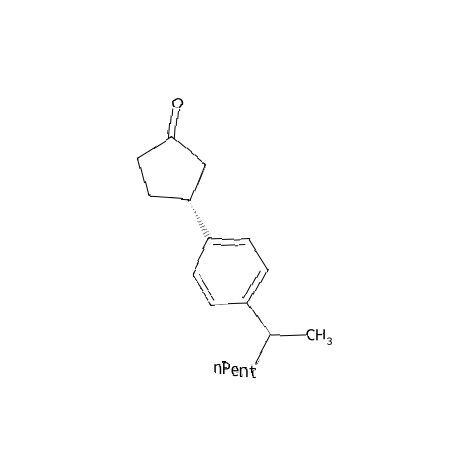 CCCCCC(C)c1ccc([C@@H]2CCC(=O)C2)cc1